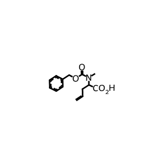 C=CCC(C(=O)O)N(C)C(=O)OCc1ccccc1